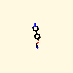 N#CCOc1ccc(C2CCNCC2)cc1